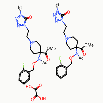 CCn1nnn(CCN2CCC(C(=O)OC)(N(OCc3ccccc3F)C(C)=O)CC2)c1=O.CCn1nnn(CCN2CCC(C(=O)OC)(N(OCc3ccccc3F)C(C)=O)CC2)c1=O.O=C(O)C(=O)O